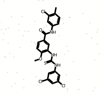 COc1ccc(C(=O)Nc2ccc(C)c(Cl)c2)cc1NC(=S)Nc1cc(Cl)cc(Cl)c1